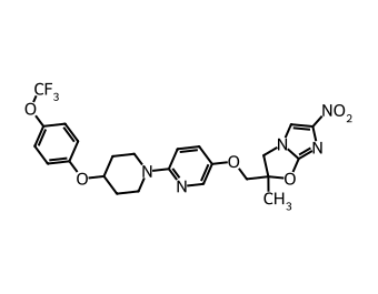 CC1(COc2ccc(N3CCC(Oc4ccc(OC(F)(F)F)cc4)CC3)nc2)Cn2cc([N+](=O)[O-])nc2O1